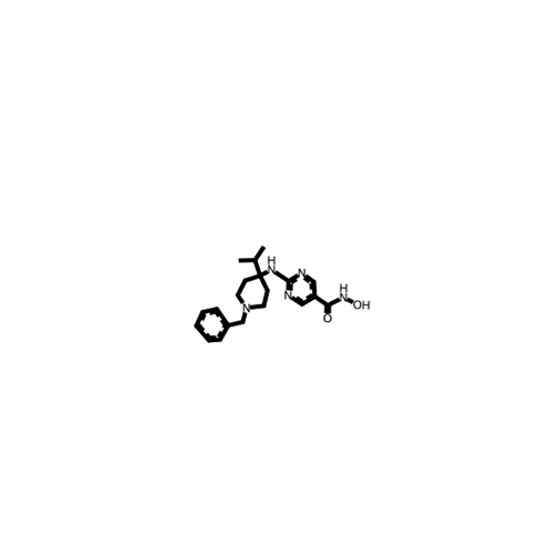 CC(C)C1(Nc2ncc(C(=O)NO)cn2)CCN(Cc2ccccc2)CC1